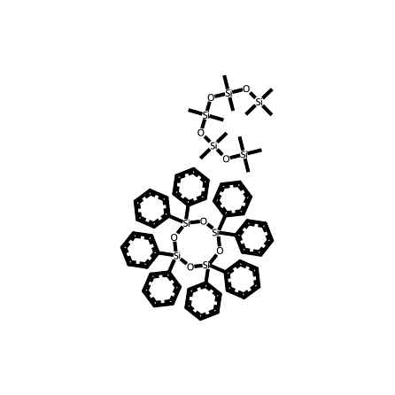 C[Si](C)(C)O[Si](C)(C)O[Si](C)(C)O[Si](C)(C)O[Si](C)(C)C.c1ccc([Si]2(c3ccccc3)O[Si](c3ccccc3)(c3ccccc3)O[Si](c3ccccc3)(c3ccccc3)O[Si](c3ccccc3)(c3ccccc3)O2)cc1